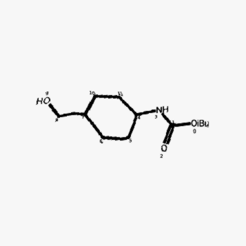 CC(C)COC(=O)NC1CCC(CO)CC1